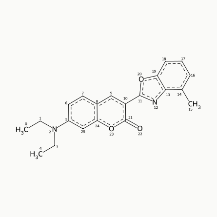 CCN(CC)c1ccc2cc(-c3nc4c(C)cccc4o3)c(=O)oc2c1